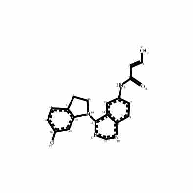 C/C=C/C(=O)Nc1ccc2ncnc(N3CCc4ccc(Cl)cc43)c2c1